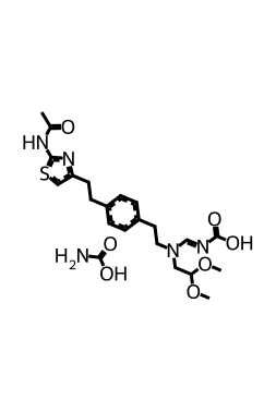 COC(CN(C=NC(=O)O)CCc1ccc(CCc2csc(NC(C)=O)n2)cc1)OC.NC(=O)O